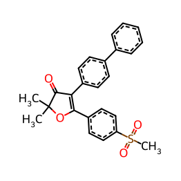 CC1(C)OC(c2ccc(S(C)(=O)=O)cc2)=C(c2ccc(-c3ccccc3)cc2)C1=O